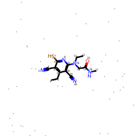 CCc1c(C#N)c(S)nc(N(CC)CC(=O)NC)c1C#N